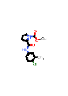 CC(C)(C)OC(=O)n1cccc1C(=O)Nc1ccc(Cl)c(C(F)(F)F)c1